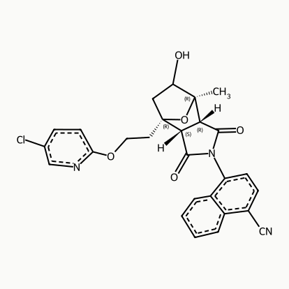 C[C@]12O[C@](CCOc3ccc(Cl)cn3)(CC1O)[C@H]1C(=O)N(c3ccc(C#N)c4ccccc34)C(=O)[C@H]12